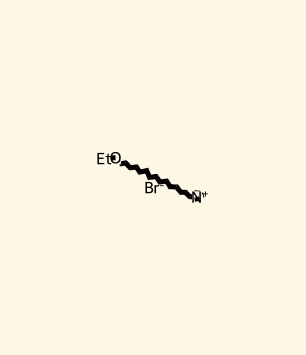 CCOCCCCCCCCCCCCCCC[N+](C)(C)C.[Br-]